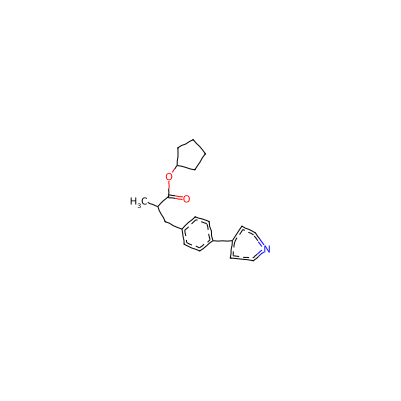 CC(Cc1ccc(-c2ccncc2)cc1)C(=O)OC1CCCC1